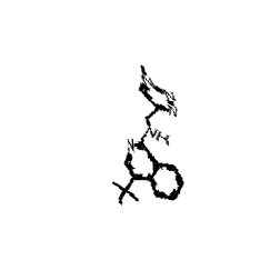 Cn1cc(CNc2ncc(C(C)(C)C)c3ccccc23)nn1